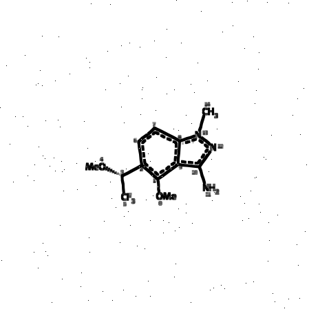 COc1c([C@@H](OC)C(F)(F)F)ccc2c1c(N)nn2C